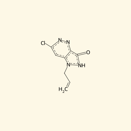 C=CCn1[nH]c(=O)c2nnc(Cl)cc21